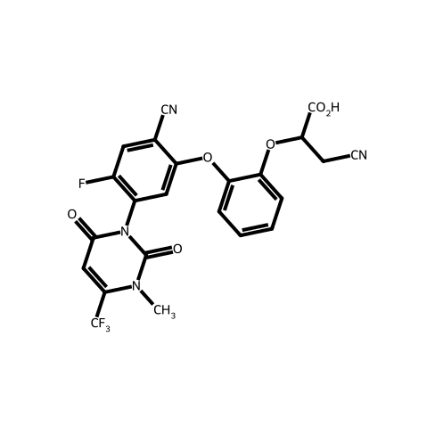 Cn1c(C(F)(F)F)cc(=O)n(-c2cc(Oc3ccccc3OC(CC#N)C(=O)O)c(C#N)cc2F)c1=O